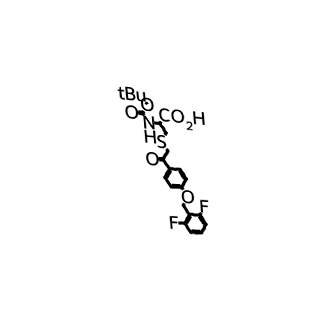 CC(C)(C)OC(=O)NC(CSCC(=O)c1ccc(OCc2c(F)cccc2F)cc1)C(=O)O